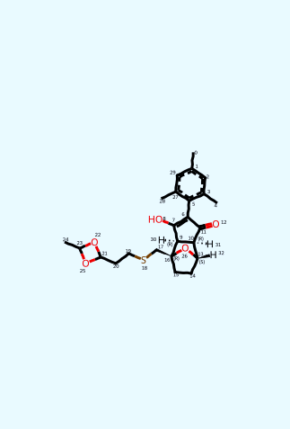 Cc1cc(C)c(C2=C(O)[C@H]3[C@@H](C2=O)[C@@H]2CC[C@@]3(CSCCC3OC(C)O3)O2)c(C)c1